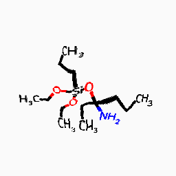 CCCC(N)(CC)O[Si](CCC)(OCC)OCC